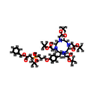 CC(C)(C)OC(=O)CN1CCN(CC(=O)OC(C)(C)C)CCN(CC(=O)OC(C)(C)C)[C@@H](Cc2ccc(OCCCP(=O)(CCC(=O)OCc3ccccc3)OC(C)(C)C)cc2)CN(CC(=O)OC(C)(C)C)CC1